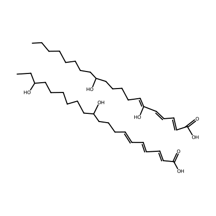 CCC(O)CCCCCCC(O)CCCC=CC=CC=CC(=O)O.CCCCCCCCC(O)CCCCC=C(O)C=CC=CC(=O)O